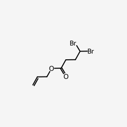 C=CCOC(=O)CCC(Br)Br